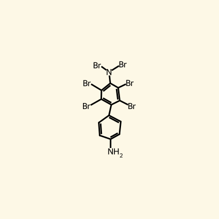 Nc1ccc(-c2c(Br)c(Br)c(N(Br)Br)c(Br)c2Br)cc1